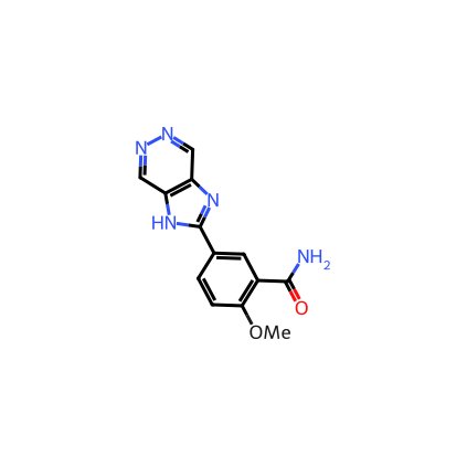 COc1ccc(-c2nc3cnncc3[nH]2)cc1C(N)=O